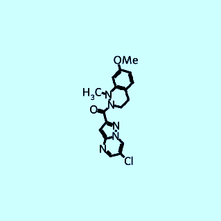 COc1ccc2c(c1)N(C)N(C(=O)c1cc3ncc(Cl)cn3n1)CC2